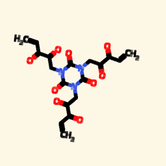 C=CC(=O)C(=O)Cn1c(=O)n(CC(=O)C(=O)C=C)c(=O)n(CC(=O)C(=O)C=C)c1=O